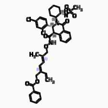 C=C/C(=C\C=C(/C)CONC(=O)[C@@H]1c2ccccc2C(=O)N([C@H]2CCCC[C@@H]2NS(C)(=O)=O)[C@H]1c1ccc(Cl)cc1Cl)COC(=O)c1ccccc1